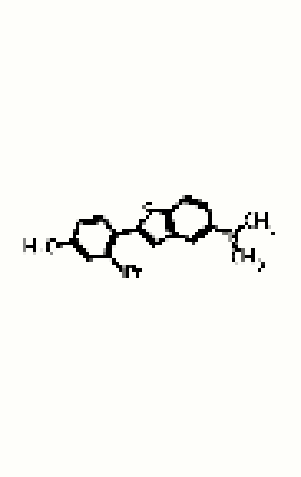 Cc1ccc(-c2cc3cc(N(C)C)ccc3s2)c(C(C)C)c1